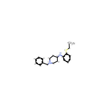 CCOC(=O)CSc1ccccc1NC1CCN(Cc2ccccc2)CC1